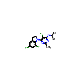 CCC(CC)Nc1nc(C)nc(N2CCc3cc(Cl)cc(Cl)c32)c1Cl